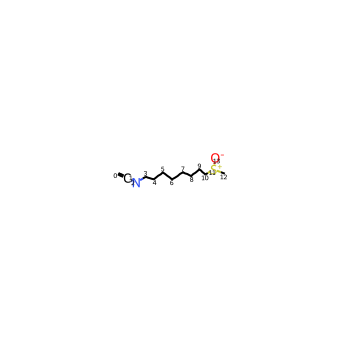 C=C=NCCCCCCCC[S+](C)[O-]